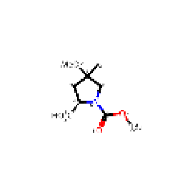 COC1(C)C[C@H](C(=O)O)N(C(=O)OC(C)(C)C)C1